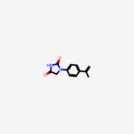 C=C(C)c1ccc(N2CC(=O)NC2=O)cc1